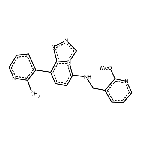 COc1ncccc1CNc1ccc(-c2cccnc2C)c2nncn12